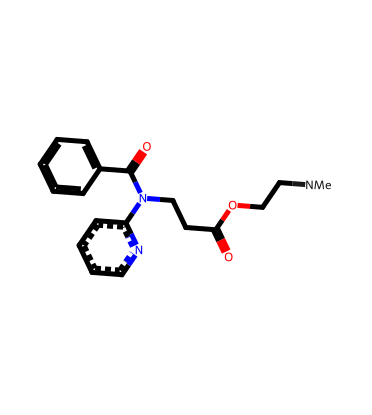 CNCCOC(=O)CCN(C(=O)C1=CC=C=C=C1)c1ccccn1